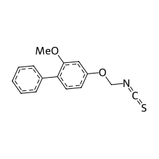 COc1cc(OCN=C=S)ccc1-c1ccccc1